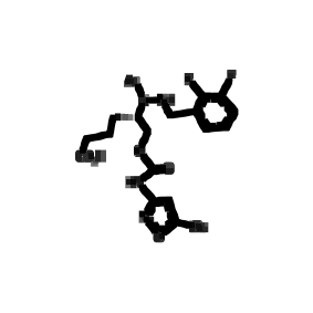 CC(=O)N(NCc1cccc(F)c1F)[C@@H](CCCC(=O)O)COC(=O)Nc1cc(C(C)(C)C)on1